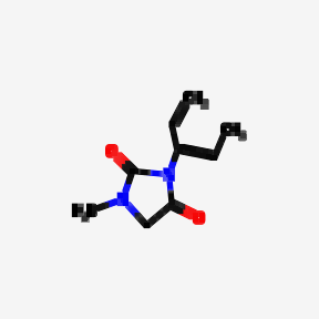 BN1CC(=O)N(/C(C=C)=C/C)C1=O